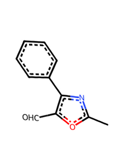 Cc1nc(-c2ccccc2)c(C=O)o1